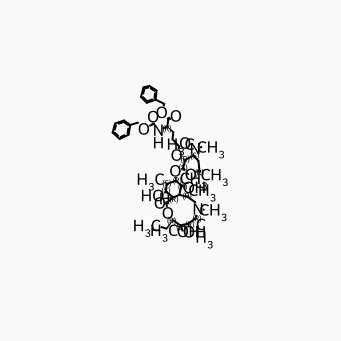 CC[C@H]1OC(=O)[C@@H]2C([C@@H](C)CN(C)[C@H](C)[C@@H](O)[C@]1(C)O)[C@@](C)(O)[C@H](O[C@@H]1O[C@H](C)C[C@H](N(C)C)[C@H]1OC(=O)CC[C@@H](NC(=O)OCc1ccccc1)C(=O)OCc1ccccc1)[C@@H](C)[C@@H]2O